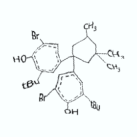 CC1CC(C)(C)CC(c2cc(Br)c(O)c(C(C)(C)C)c2)(c2cc(Br)c(O)c(C(C)(C)C)c2)C1